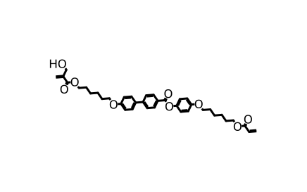 C=CC(=O)OCCCCCCOc1ccc(OC(=O)c2ccc(-c3ccc(OCCCCCCOC(=O)C(=C)CO)cc3)cc2)cc1